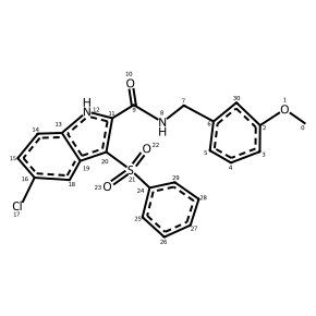 COc1cccc(CNC(=O)c2[nH]c3ccc(Cl)cc3c2S(=O)(=O)c2ccccc2)c1